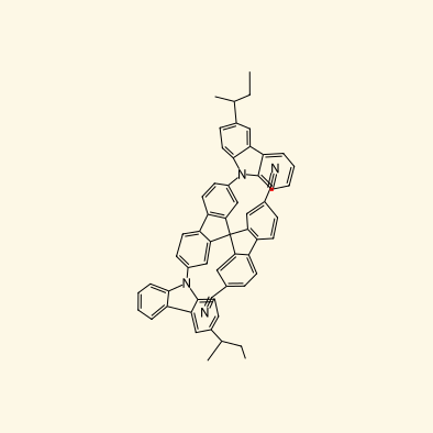 CCC(C)c1ccc2c(c1)c1ccccc1n2-c1ccc2c(c1)C1(c3cc(C#N)ccc3-c3ccc(C#N)cc31)c1cc(-n3c4ccccc4c4cc(C(C)CC)ccc43)ccc1-2